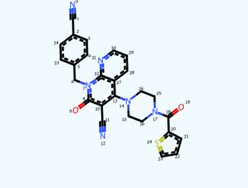 N#Cc1ccc(Cn2c(=O)c(C#N)c(N3CCN(C(=O)c4cccs4)CC3)c3cccnc32)cc1